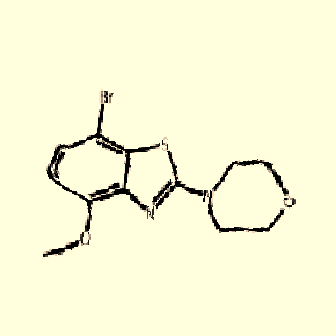 COc1ccc(Br)c2sc(N3CCOCC3)nc12